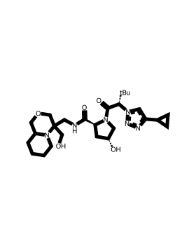 CC(C)(C)[C@@H](C(=O)N1C[C@H](O)C[C@H]1C(=O)NCC1(CO)COCC2CCCCN21)n1cc(C2CC2)nn1